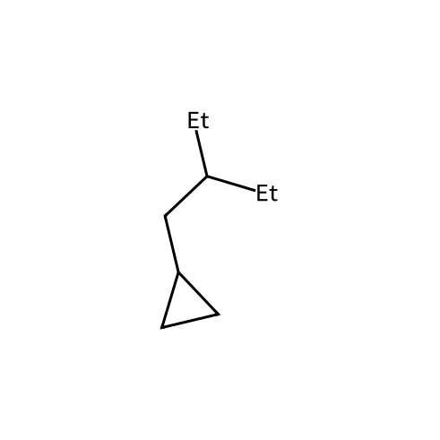 CCC(CC)CC1CC1